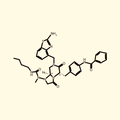 CCCCNC(=O)N(C)N1CC(=O)N2[C@@H](Cc3ccc(NC(=O)c4ccccc4)cc3)C(=O)N(Cc3cccc4sc(N)nc34)C[C@@H]21